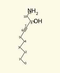 CCCCCCC#CC(O)CN